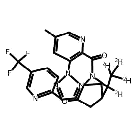 [2H]C([2H])([2H])C1([2H])C2CC(Oc3ccc(C(F)(F)F)cn3)C(C2)N1C(=O)c1ncc(C)cc1-n1nccn1